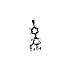 C#Cc1ccc(C(=O)NC(CO)C(=O)O)cc1